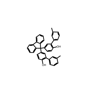 Cc1cccc(-c2cc(C3(c4ccc(O)c(-c5cccc(C)c5)c4)c4ccccc4-c4ccccc43)ccc2O)c1